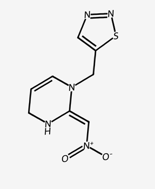 O=[N+]([O-])C=C1NCC=CN1Cc1cnns1